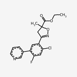 CCOC(=O)C1(C)CC(c2cc(-c3cccnc3)c(F)cc2Cl)=NO1